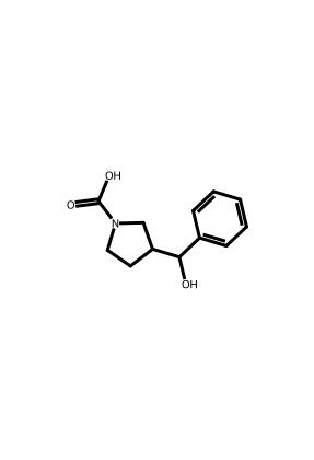 O=C(O)N1CCC(C(O)c2ccccc2)C1